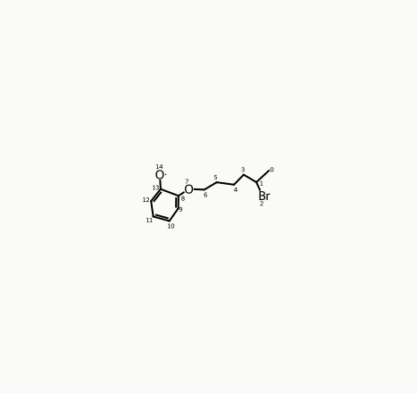 CC(Br)CCCCOc1ccccc1[O]